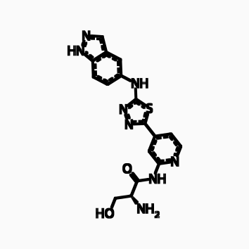 N[C@@H](CO)C(=O)Nc1cc(-c2nnc(Nc3ccc4[nH]ncc4c3)s2)ccn1